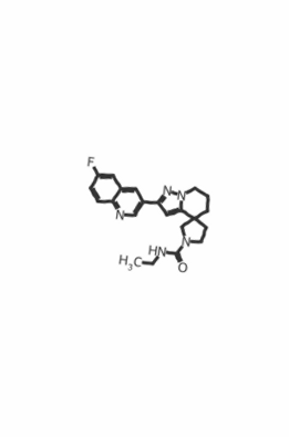 CCNC(=O)N1CCC2(CCCn3nc(-c4cnc5ccc(F)cc5c4)cc32)C1